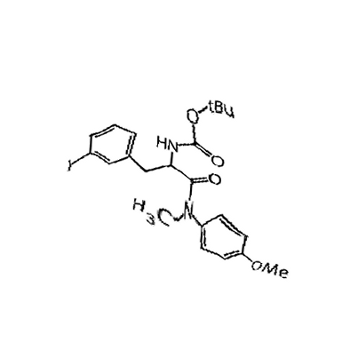 COc1ccc(N(C)C(=O)C(Cc2cccc(I)c2)NC(=O)OC(C)(C)C)cc1